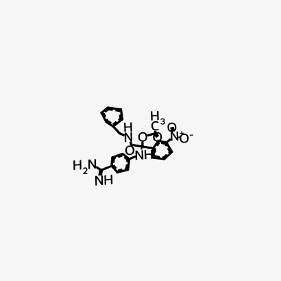 CC(=O)O[C@](Nc1ccc(C(=N)N)cc1)(C(=O)NCc1ccccc1)c1cccc([N+](=O)[O-])c1